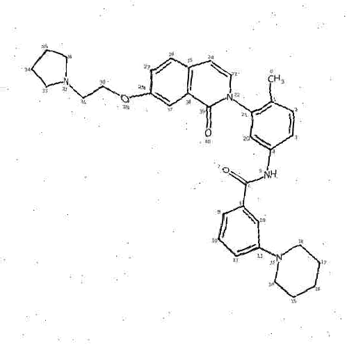 Cc1ccc(NC(=O)c2cccc(N3CCCCC3)c2)cc1-n1ccc2ccc(OCCN3CCCC3)cc2c1=O